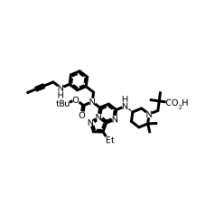 CC#CCNc1cccc(CN(C(=O)OC(C)(C)C)c2cc(N[C@H]3CCC(C)(C)N(CC(C)(C)C(=O)O)C3)nc3c(CC)cnn23)c1